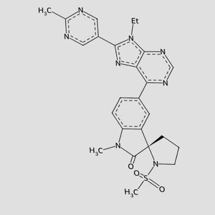 CCn1c(-c2cnc(C)nc2)nc2c(-c3ccc4c(c3)[C@@]3(CCCN3S(C)(=O)=O)C(=O)N4C)ncnc21